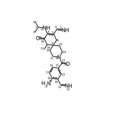 CC(C)NC1=C(C=N)CC2(CCN(C(=O)c3ccc(N)c(C=N)c3)CC2)C(C)C1=O